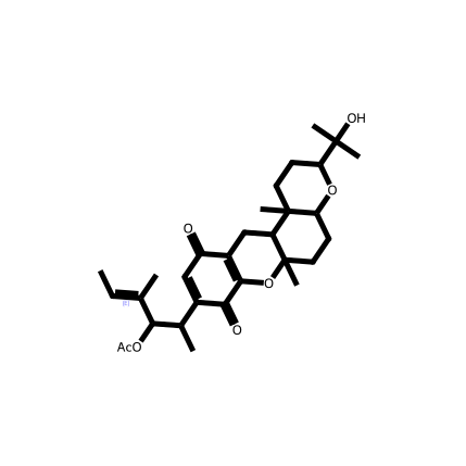 C/C=C(\C)C(OC(C)=O)C(C)C1=CC(=O)C2=C(OC3(C)CCC4OC(C(C)(C)O)CCC4(C)C3C2)C1=O